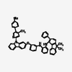 Cc1cc(-n2c3ccccc3c3ccc(Oc4cccc(Nc5ccccc5Nc5c(-c6ccccc6)ccc6c5-c5ccccc5C6(C)C)c4)cc32)ncc1-c1ccc(C(C)(C)C)cc1